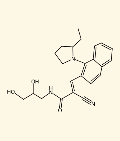 CCC1CCCN1c1c(/C=C(\C#N)C(=O)NCC(O)CO)ccc2ccccc12